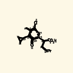 Cc1c(Cl)nn(C(CC(C)C)C(=O)O)c(=O)c1C1CC1